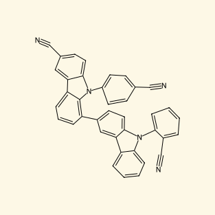 N#Cc1ccc(-n2c3ccc(C#N)cc3c3cccc(-c4ccc5c(c4)c4ccccc4n5-c4ccccc4C#N)c32)cc1